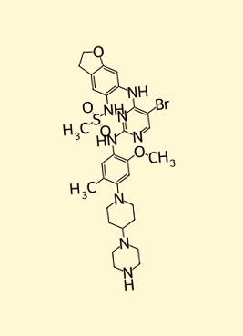 COc1cc(N2CCC(N3CCNCC3)CC2)c(C)cc1Nc1ncc(Br)c(Nc2cc3c(cc2NS(C)(=O)=O)CCO3)n1